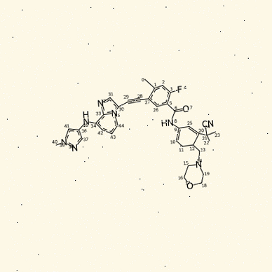 Cc1cc(F)c(C(=O)NC2=CCC(CN3CCOCC3)C(C(C)(C)C#N)=C2)cc1C#Cc1cnc2c(Nc3cnn(C)c3)cccn12